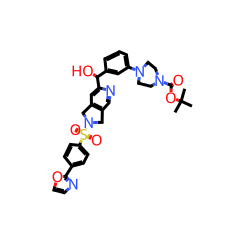 CC(C)(C)OC(=O)N1CCN(c2cccc(C(O)c3cc4c(cn3)CN(S(=O)(=O)c3ccc(-c5ncco5)cc3)C4)c2)CC1